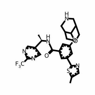 Cc1cnc(-c2cc(OC3C4CNCC3COC4)cc(C(=O)N[C@H](C)c3cnc(C(F)(F)F)nc3)c2)s1